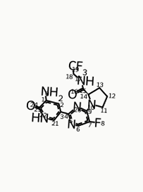 Nc1cc(-c2ncc(F)c(N3CCC[C@@H]3C(=O)NCC(F)(F)F)n2)c[nH]c1=O